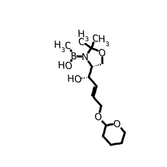 CB(O)N1[C@@H]([C@@H](O)/C=C/COC2CCCCO2)COC1(C)C